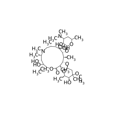 CC[C@H]1OC(=O)[C@H](C)[C@@H](O[C@H]2CC(C)(OC)[C@@H](O)[C@@H](C)O2)[C@H](C)[C@@H](O[C@@H]2OC(C)CC(N(C)C)C2O)[C@](C)(O)C[C@@H](C)CN(C)[C@H](C)[C@@H](O)[C@]1(C)O